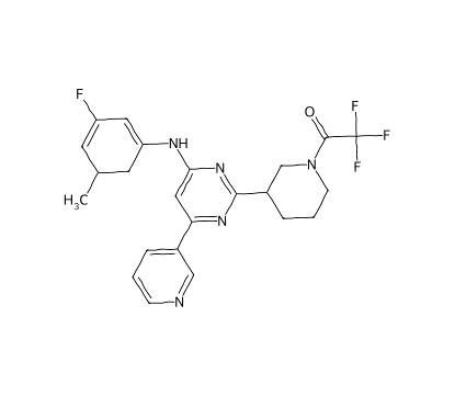 CC1C=C(F)C=C(Nc2cc(-c3cccnc3)nc(C3CCCN(C(=O)C(F)(F)F)C3)n2)C1